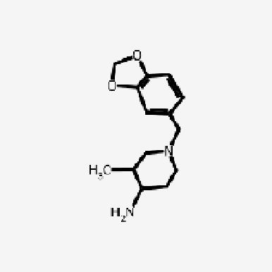 CC1CN(Cc2ccc3c(c2)OCO3)CCC1N